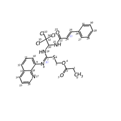 CCC(=O)OCS/C(=N/c1cccc2cccnc12)NC(NC(=O)/C=C/c1ccccc1)C(Cl)(Cl)Cl